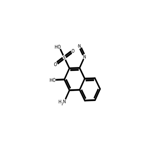 [N]=Nc1c(S(=O)(=O)O)c(O)c(N)c2ccccc12